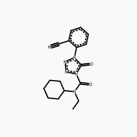 CCN(C(=O)n1nnn(-c2ccccc2C#N)c1=O)C1CCCCC1